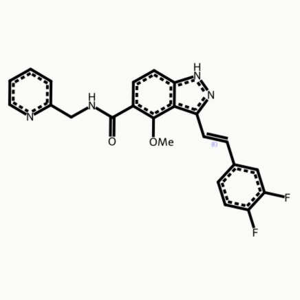 COc1c(C(=O)NCc2ccccn2)ccc2[nH]nc(/C=C/c3ccc(F)c(F)c3)c12